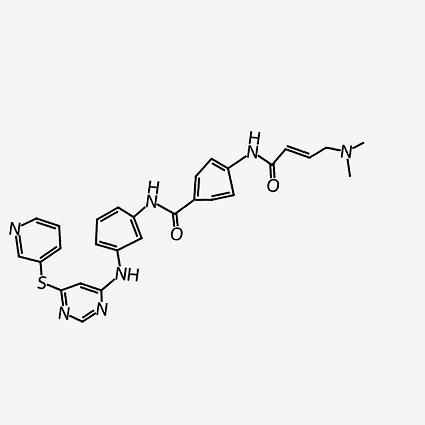 CN(C)C/C=C/C(=O)Nc1ccc(C(=O)Nc2cccc(Nc3cc(Sc4cccnc4)ncn3)c2)cc1